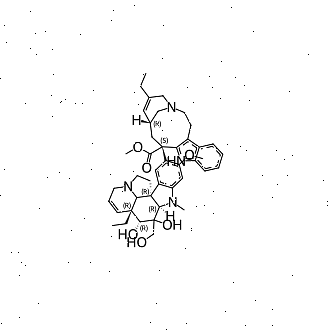 CCC1=C[C@@H]2CN(CCc3c([nH]c4ccccc34)[C@@](C(=O)OC)(c3cc4c(cc3OC)N(C)[C@H]3C(O)(CO)[C@H](O)[C@]5(CC)C=CCN6CC[C@]43C65)C2)C1